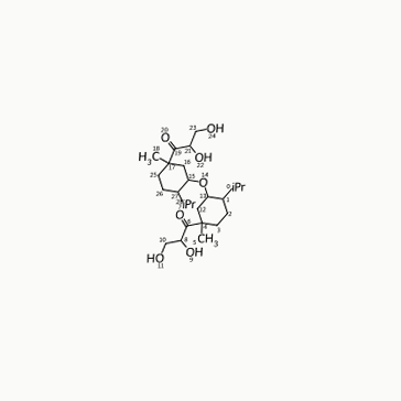 CC(C)C1CCC(C)(C(=O)C(O)CO)CC1OC1CC(C)(C(=O)C(O)CO)CCC1C(C)C